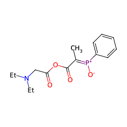 CCN(CC)CC(=O)OC(=O)/C(C)=[P+](\[O-])c1ccccc1